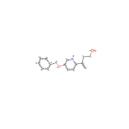 C=C(CCO)c1ccc(OCc2ccccc2)cn1